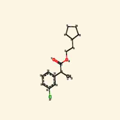 CC(C(=O)OCCC1CCCC1)c1cccc(Cl)c1